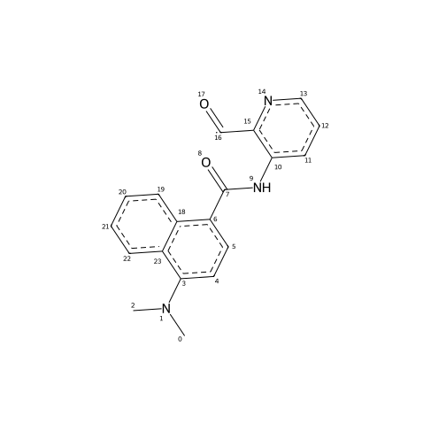 CN(C)c1ccc(C(=O)Nc2cccnc2[C]=O)c2ccccc12